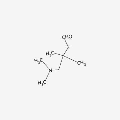 CN(C)CC(C)(C)[CH]C=O